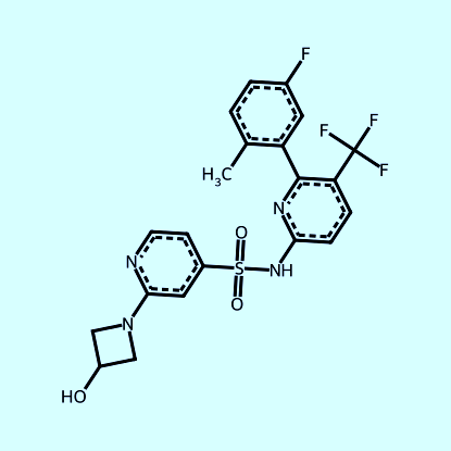 Cc1ccc(F)cc1-c1nc(NS(=O)(=O)c2ccnc(N3CC(O)C3)c2)ccc1C(F)(F)F